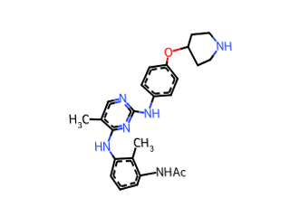 CC(=O)Nc1cccc(Nc2nc(Nc3ccc(OC4CCNCC4)cc3)ncc2C)c1C